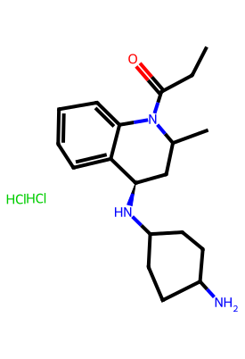 CCC(=O)N1c2ccccc2[C@H](NC2CCC(N)CC2)CC1C.Cl.Cl